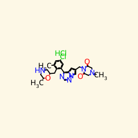 Cc1cc(Cl)cc(-c2ncnn3cc(CN4C(=O)CN(C)CC4=O)cc23)c1CC1CNC[C@H](C)O1.Cl